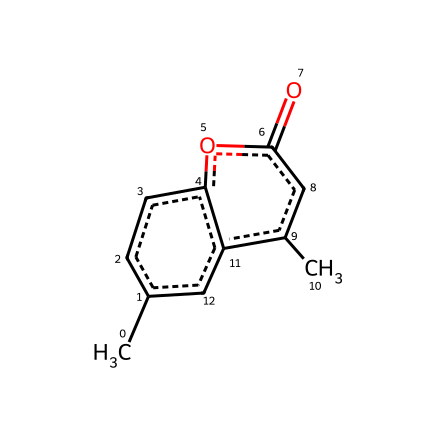 Cc1ccc2oc(=O)cc(C)c2c1